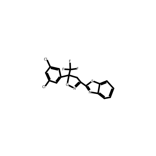 FC(F)(F)C1(c2cc(Cl)cc(Cl)c2)CC(c2nc3ccccc3s2)=NO1